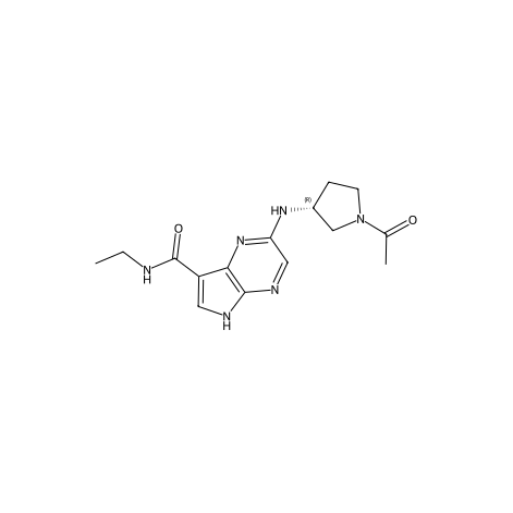 CCNC(=O)c1c[nH]c2ncc(N[C@@H]3CCN(C(C)=O)C3)nc12